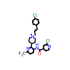 C[N+]1(C/C=C/c2ccc(Cl)cc2)CCC(c2nc(C(F)(F)F)ccc2NC(=O)c2ccnc(Cl)c2)CC1